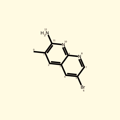 Cc1cc2cc(Br)cnc2nc1N